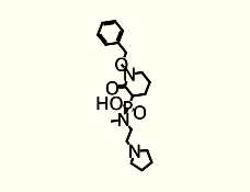 CN(CCN1CCCC1)P(=O)(O)C1CCCN(OCc2ccccc2)C1=O